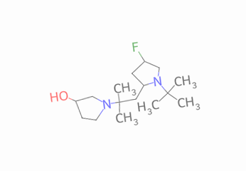 CC(C)(C)N1CC(F)CC1CC(C)(C)N1CCC(O)C1